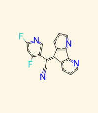 N#CC(=C1c2cccnc2-c2ncccc21)c1cnc(F)cc1F